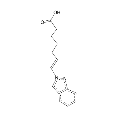 O=C(O)CCCCC=Cn1cc2ccccc2n1